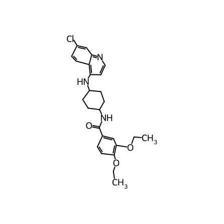 CCOc1ccc(C(=O)NC2CCC(Nc3ccnc4cc(Cl)ccc34)CC2)cc1OCC